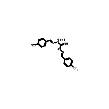 Cl.N#Cc1ccc(C=NNC(=N)NN=Cc2ccc(C(F)(F)F)cc2)cc1